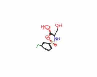 O=C(O)C(CO)NS(=O)(=O)c1cccc(F)c1